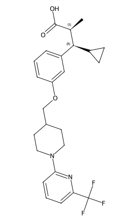 C[C@H](C(=O)O)[C@H](c1cccc(OCC2CCN(c3cccc(C(F)(F)F)n3)CC2)c1)C1CC1